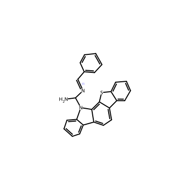 NC(/N=C/c1ccccc1)n1c2ccccc2c2ccc3c4ccccc4sc3c21